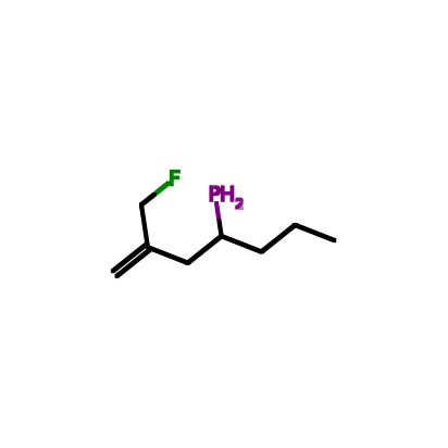 C=C(CF)CC(P)CCC